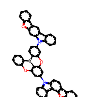 c1ccc2c(c1)Oc1cc(-n3c4ccccc4c4c5oc6ccccc6c5ccc43)cc3c1B2c1ccc(-n2c4ccccc4c4cc5c(cc42)oc2ccccc25)cc1O3